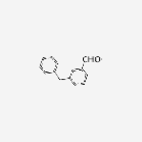 O=[C]c1cccc(Cc2ccccc2)c1